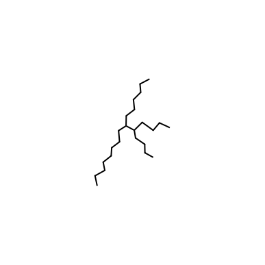 CCCCCCCCC(CCCCCC)C(CCCC)CCCC